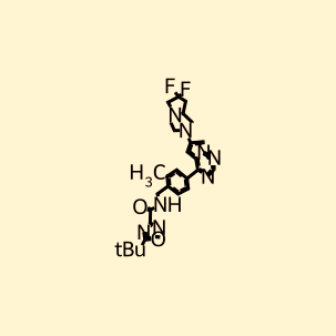 Cc1cc(-c2ncnn3cc(N4CCN5CC(F)(F)CC5C4)cc23)ccc1CNC(=O)c1noc(C(C)(C)C)n1